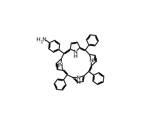 Nc1ccc(/C2=c3\cc/c([nH]3)=C(\c3ccccc3)C3C=C/C(=C(\c4ccccc4)c4ccc([nH]4)/C(c4ccccc4)=C4/C=CC2N4)N3)cc1